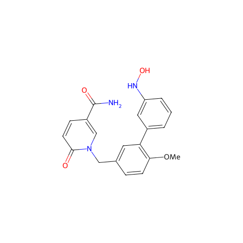 COc1ccc(Cn2cc(C(N)=O)ccc2=O)cc1-c1cccc(NO)c1